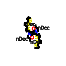 CCCCCCCCCCCCC(CCCCCCCCCC)CN1C(=O)C2=C(C3CC=C(C4=CCC(C5CC=CS5)S4)S3)N(CC(CCCCCCCCCC)CCCCCCCCCCCC)C(=O)C2=C1c1ccc(-c2ccc(-c3cccs3)s2)s1